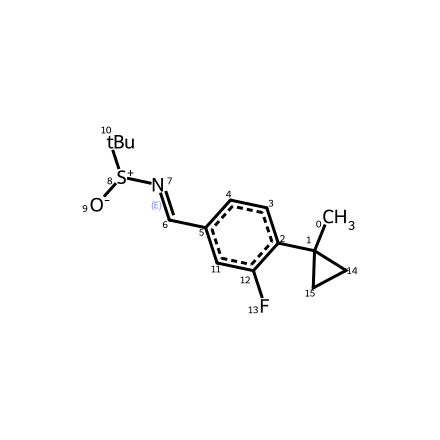 CC1(c2ccc(/C=N/[S+]([O-])C(C)(C)C)cc2F)CC1